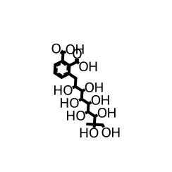 CC(O)(CO)C(O)C(O)C(O)C(O)C(O)C(O)Cc1cccc(C(=O)O)c1C(=O)O